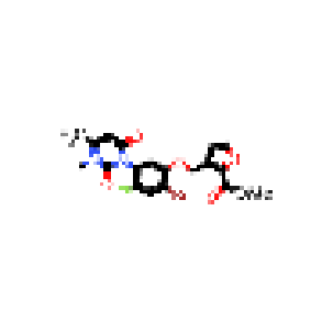 COC(=O)c1occc1COc1cc(-n2c(=O)cc(C(F)(F)F)n(C)c2=O)c(F)cc1Br